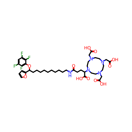 O=C(O)CN1CCN(CC(=O)O)CCN(C(CCC(=O)NCCCCCCCCCCC(Oc2c(F)c(F)cc(F)c2F)c2ccco2)C(=O)O)CCN(CC(=O)O)CC1